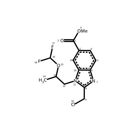 COC(=O)c1ccc2nc(CCl)n(CC(C)OC(F)F)c2c1